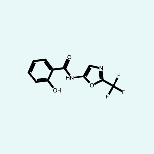 O=C(Nc1cnc(C(F)(F)F)o1)c1ccccc1O